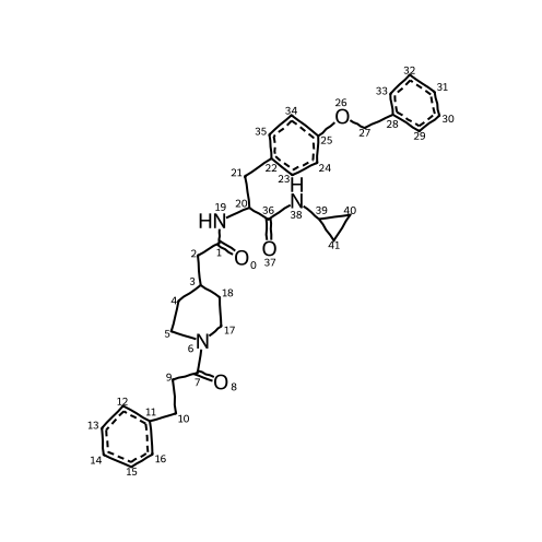 O=C(CC1CCN(C(=O)CCc2ccccc2)CC1)NC(Cc1ccc(OCc2ccccc2)cc1)C(=O)NC1CC1